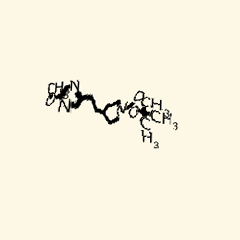 COc1cnc(CCC2CCN(C(=O)OC(C)(C)C)CC2)cn1